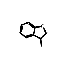 CC1[C]Oc2ccccc21